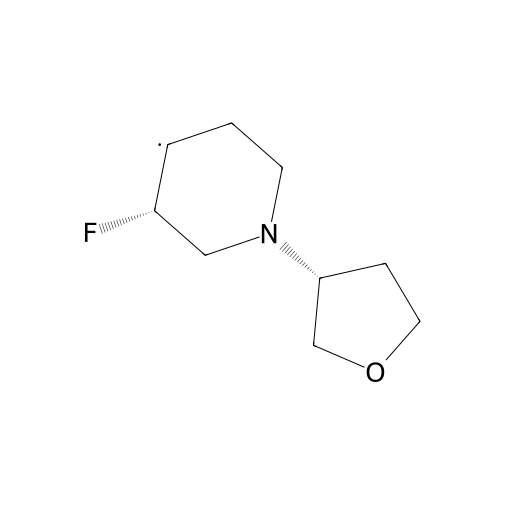 F[C@@H]1[CH]CCN([C@@H]2CCOC2)C1